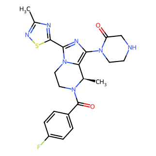 Cc1nsc(-c2nc(N3CCNCC3=O)c3n2CCN(C(=O)c2ccc(F)cc2)[C@@H]3C)n1